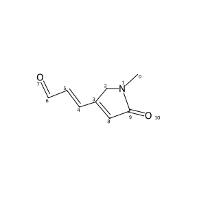 CN1CC(C=CC=O)=CC1=O